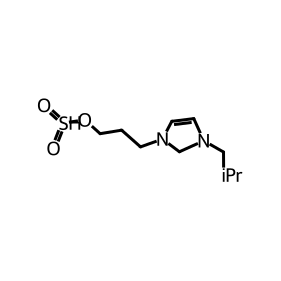 CC(C)CN1C=CN(CCCO[SH](=O)=O)C1